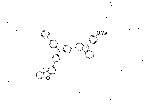 COc1ccc(-n2c3c(c4cc(-c5ccc(N(c6ccc(-c7ccccc7)cc6)c6ccc(-c7ccc8oc9ccccc9c8c7)cc6)cc5)ccc42)C=CCC3)cc1